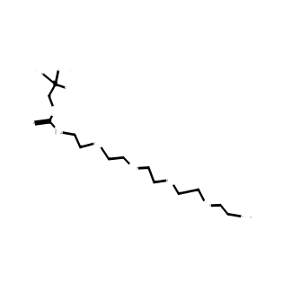 CC(C)(C)CCOCCOCCOCCOCCNC(=O)SCC(C)(C)C(C)(C)C